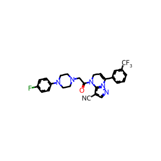 N#Cc1cnn2c1N(C(=O)CN1CCN(c3ccc(F)cc3)CC1)CC=C2c1cccc(C(F)(F)F)c1